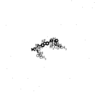 COC(=O)NCC(=O)N1CC2(CC2)C[C@H]1c1ncc(-c2ccc3c(c2)C(F)(F)c2cc(-c4cnc([C@@H]5[C@H]6CC[C@H](C6)N5C(=O)[C@H](C)NC(=O)OC)[nH]4)ccc2-3)[nH]1